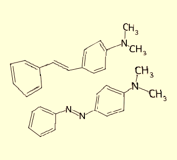 CN(C)c1ccc(C=Cc2ccccc2)cc1.CN(C)c1ccc(N=Nc2ccccc2)cc1